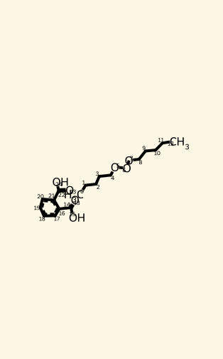 CCCCCOOOCCCCC.O=C(O)c1ccccc1C(=O)O